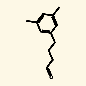 Cc1cc(C)cc(CCCC=O)c1